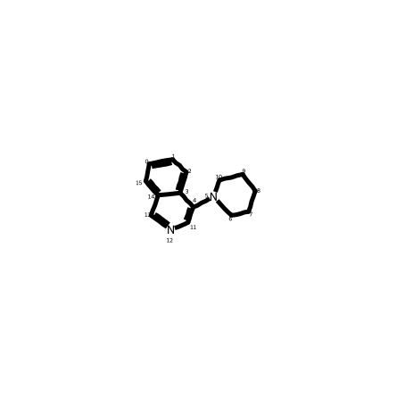 c1ccc2c(N3CCCCC3)cncc2c1